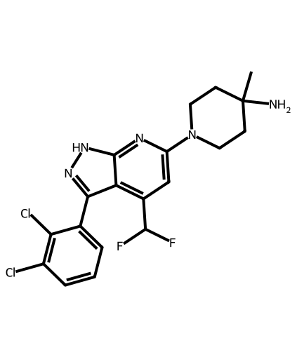 CC1(N)CCN(c2cc(C(F)F)c3c(-c4cccc(Cl)c4Cl)n[nH]c3n2)CC1